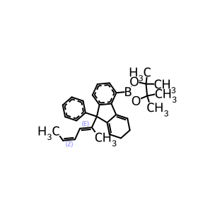 C/C=C\C=C(/C)C1(c2ccccc2)C2=CCCC=C2c2c(B3OC(C)(C)C(C)(C)O3)cccc21